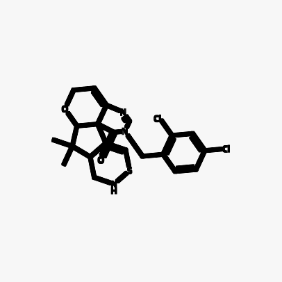 CC1(C)C2CNSC=C2C23C(=O)N(Cc4ccc(Cl)cc4Cl)C=NC2=CCOC31